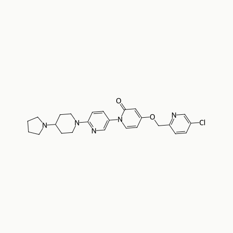 O=c1cc(OCc2ccc(Cl)cn2)ccn1-c1ccc(N2CCC(N3CCCC3)CC2)nc1